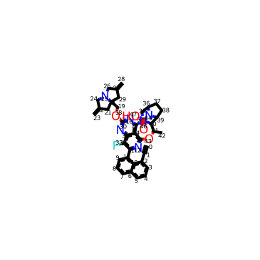 C#Cc1cccc2cccc(-c3nc4c5c(nc(OCC67CC(=C)CN6CC(=C)C7)nc5c3F)N3CC5CCC(C3C(C)O4)N5C(=O)O)c12